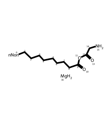 CCCCCCCCCCCCCCCCCC(=O)OC(=O)CN.[MgH2]